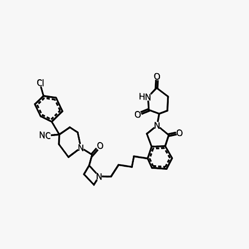 N#CC1(c2ccc(Cl)cc2)CCN(C(=O)C2CCN2CCCCc2cccc3c2CN(C2CCC(=O)NC2=O)C3=O)CC1